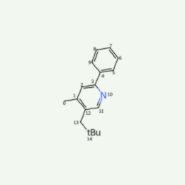 Cc1cc(-c2ccccc2)ncc1CC(C)(C)C